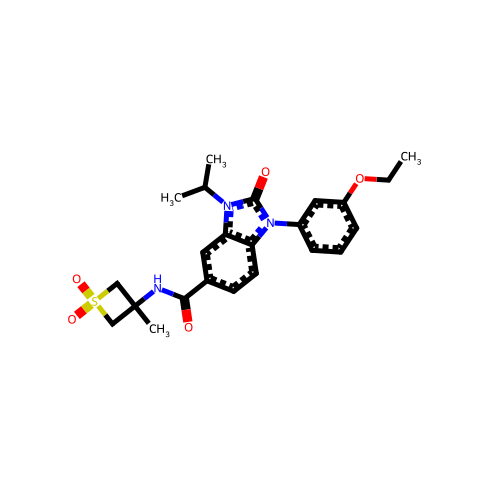 CCOc1cccc(-n2c(=O)n(C(C)C)c3cc(C(=O)NC4(C)CS(=O)(=O)C4)ccc32)c1